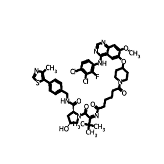 COc1cc2ncnc(Nc3ccc(Cl)c(Cl)c3F)c2cc1OC1CCN(C(=O)CCCCC(=O)/N=C(\C(=O)N2C[C@H](O)C[C@H]2C(=O)NCc2ccc(-c3scnc3C)cc2)C(C)(C)C)CC1